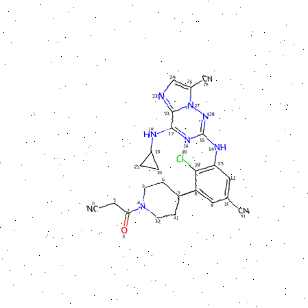 N#CCC(=O)N1CCC(c2cc(C#N)cc(Nc3nc(NC4CC4)c4ncc(C#N)n4n3)c2Cl)CC1